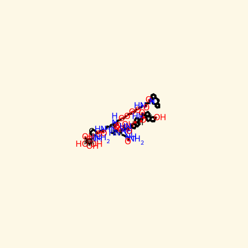 CC(C)[C@H](NC(=O)[C@@H](CCCCNC(=O)COC1CCCCC/C(N[C@@H]2O[C@H](CO)[C@H](O)[C@H](O)[C@H]2O)=C\1N)NC(=O)CCOCCOCCOCCOCCNC(=O)CCC(=O)N1Cc2ccccc2C#Cc2ccccc21)C(=O)N[C@@H](CCCNC(N)=O)C(=O)NC(CO)C(=O)Nc1ccc2c(c1)[C@@]1(C)CCC[C@](C)(C(=O)NC(=O)[C@@]3(C)CCC[C@]4(C)c5cc(O)ccc5CC[C@@H]34)[C@@H]1CC2